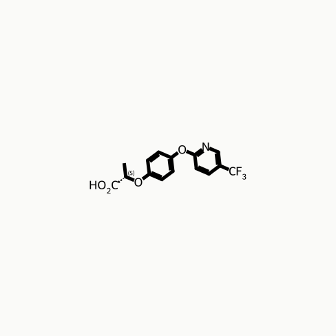 C[C@H](Oc1ccc(Oc2ccc(C(F)(F)F)cn2)cc1)C(=O)O